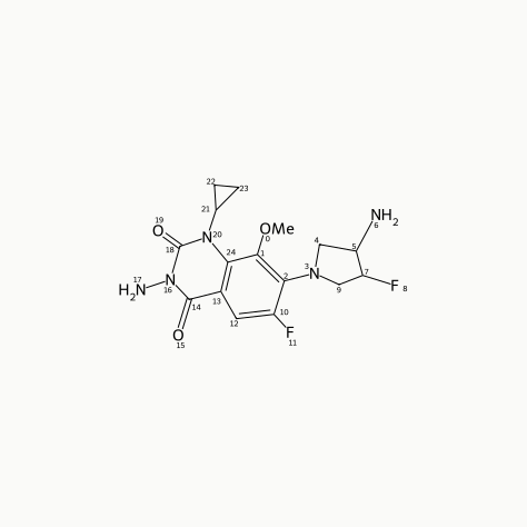 COc1c(N2CC(N)C(F)C2)c(F)cc2c(=O)n(N)c(=O)n(C3CC3)c12